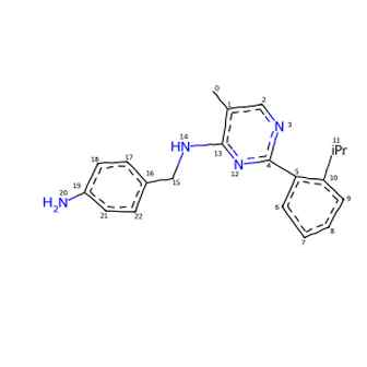 Cc1cnc(-c2ccccc2C(C)C)nc1NCc1ccc(N)cc1